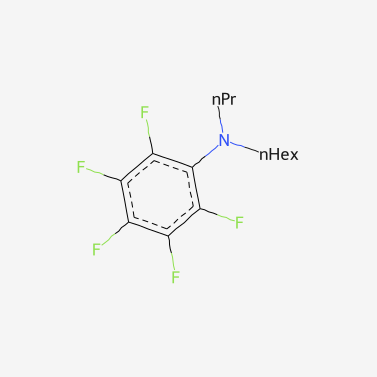 CCCCCCN(CCC)c1c(F)c(F)c(F)c(F)c1F